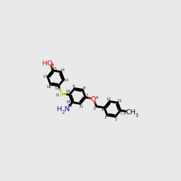 Cc1ccc(COc2ccc(Sc3ccc(O)cc3)c(N)c2)cc1